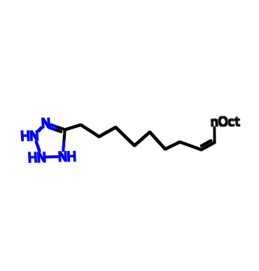 CCCCCCCC/C=C\CCCCCCCC1=NNNN1